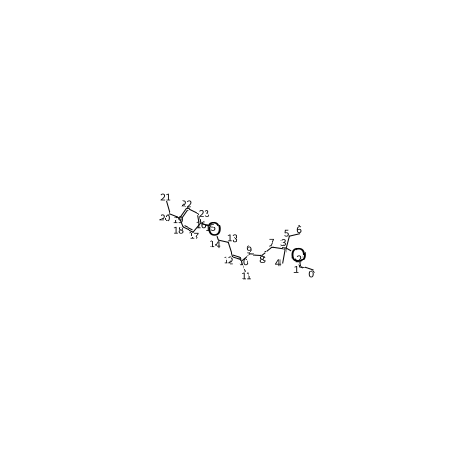 CCOC(C)(CC)CCCC(C)=CCCOc1ccc(CC)cc1